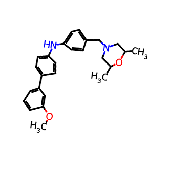 COc1cccc(-c2ccc(Nc3ccc(CN4CC(C)OC(C)C4)cc3)cc2)c1